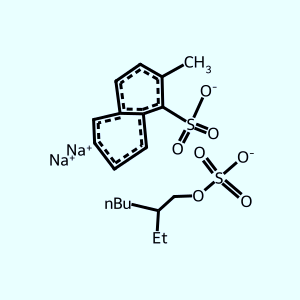 CCCCC(CC)COS(=O)(=O)[O-].Cc1ccc2ccccc2c1S(=O)(=O)[O-].[Na+].[Na+]